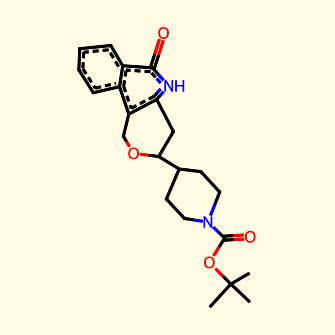 CC(C)(C)OC(=O)N1CCC(C2Cc3[nH]c(=O)c4ccccc4c3CO2)CC1